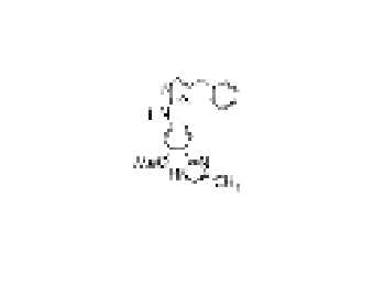 COc1cc(Nc2ncc(Cc3ccccc3)s2)ccc1-c1nc(C)c[nH]1